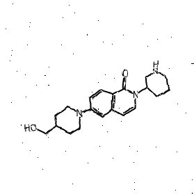 O=c1c2ccc(N3CCC(CO)CC3)cc2ccn1C1CCCNC1